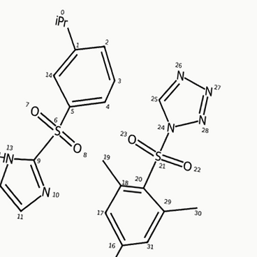 CC(C)c1cccc(S(=O)(=O)c2ncc[nH]2)c1.Cc1cc(C)c(S(=O)(=O)n2cnnn2)c(C)c1